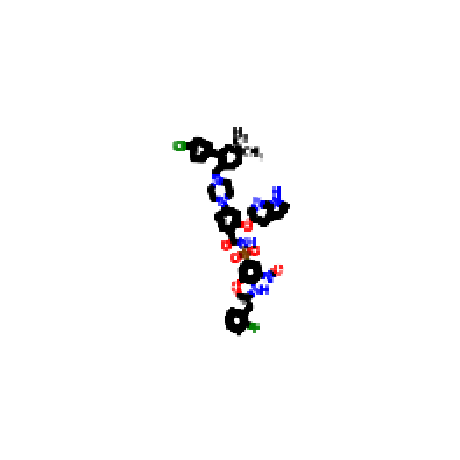 CC1(C)CCC(CN2CCN(c3ccc(C(=O)NS(=O)(=O)c4cc(N=O)c5c(c4)OC[C@H](Cc4ccccc4F)N5)c(Oc4cnc5[nH]ccc5c4)c3)CC2)=C(c2ccc(Cl)cc2)C1